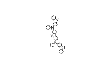 CC1(C)c2ccccc2-c2cc(N(c3ccccc3)c3ccc4c(c3)C(C)(C)c3cc(N(c5ccccc5)c5ccc6oc7ccccc7c6c5)ccc3-4)ccc21